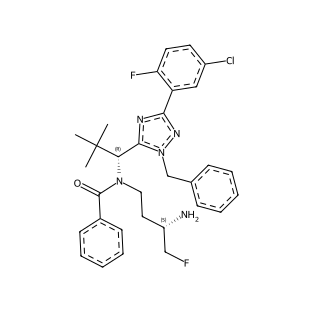 CC(C)(C)[C@H](c1nc(-c2cc(Cl)ccc2F)nn1Cc1ccccc1)N(CC[C@H](N)CF)C(=O)c1ccccc1